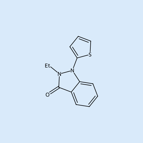 CCn1c(=O)c2ccccc2n1-c1cccs1